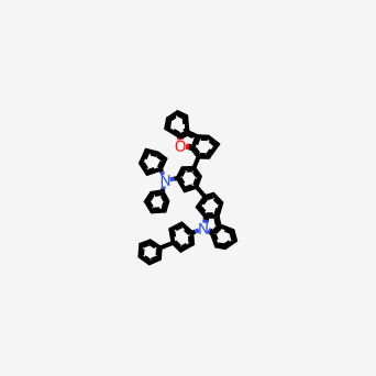 c1ccc(-c2ccc(-n3c4ccccc4c4ccc(-c5cc(-c6cccc7c6oc6ccccc67)cc(N(c6ccccc6)c6ccccc6)c5)cc43)cc2)cc1